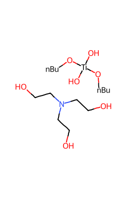 CCCC[O][Ti]([OH])([OH])[O]CCCC.OCCN(CCO)CCO